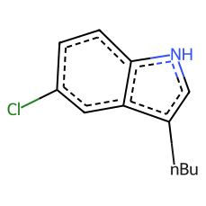 CCCCc1c[nH]c2ccc(Cl)cc12